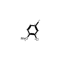 COc1c[c]c(I)cc1Cl